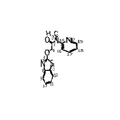 CN(C(=O)COc1nc2ccccc2s1)c1ccccn1